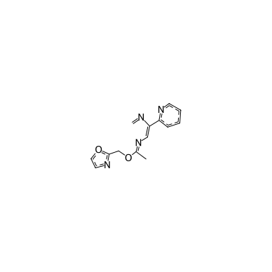 C=N/C(=C\N=C(/C)OCc1ncco1)c1ccccn1